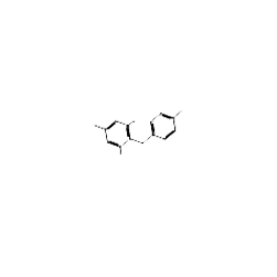 Cc1ccc(Cc2c(F)cc(C)cc2F)cc1